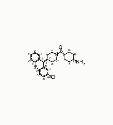 NC1CCC(C(=O)N2CCC(=C3c4ccccc4Sc4ccc(Cl)cc43)CC2)CC1